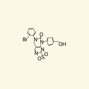 CS(=O)(=O)c1ncc2c(n1)N(c1ccc(CO)cc1)C(=O)N(c1ccccc1Br)C2